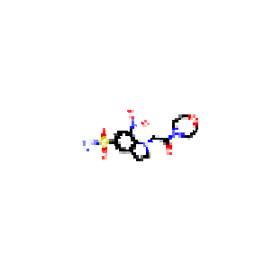 NS(=O)(=O)c1cc2c(c([N+](=O)[O-])c1)N(CC(=O)N1CCOCC1)CC2